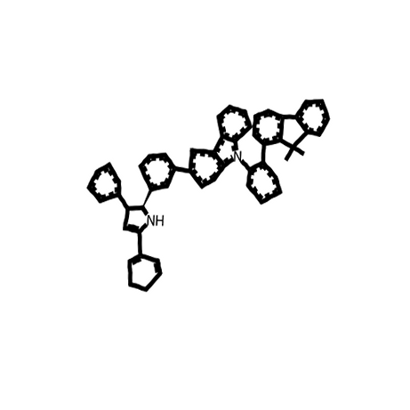 CC1(C)c2ccccc2-c2cccc(-c3ccccc3-n3c4ccccc4c4cc(-c5cccc([C@H]6NC(C7=CCCC=C7)=CC6c6ccccc6)c5)ccc43)c21